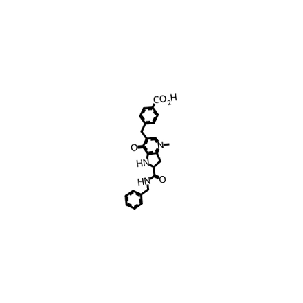 Cn1cc(Cc2ccc(C(=O)O)cc2)c(=O)c2c1CC(C(=O)NCc1ccccc1)N2